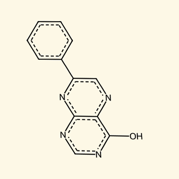 Oc1ncnc2nc(-c3ccccc3)cnc12